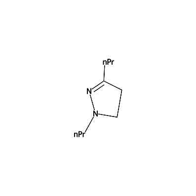 CCCC1=NN(CCC)CC1